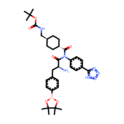 CC(C)(C)OC(=O)NC[C@H]1CC[C@H](C(=O)N(C(=O)[C@@H](N)Cc2ccc(B3OC(C)(C)C(C)(C)O3)cc2)c2ccc(-c3nnn[nH]3)cc2)CC1